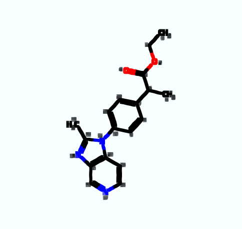 CCOC(=O)C(C)c1ccc(-n2c(C)nc3cnccc32)cc1